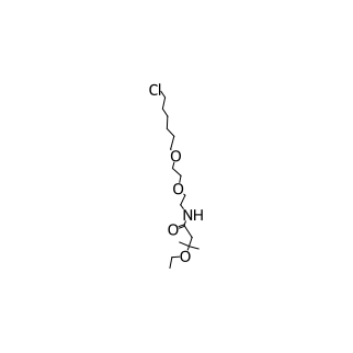 CCOC(C)(C)CC(=O)NCCOCCOCCCCCCCl